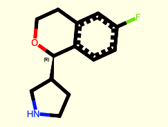 Fc1ccc2c(c1)CCO[C@@H]2C1CCNC1